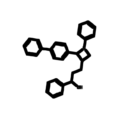 OC(CCC1CN(c2ccccc2)C1c1ccc(-c2ccccc2)cc1)c1ccccc1